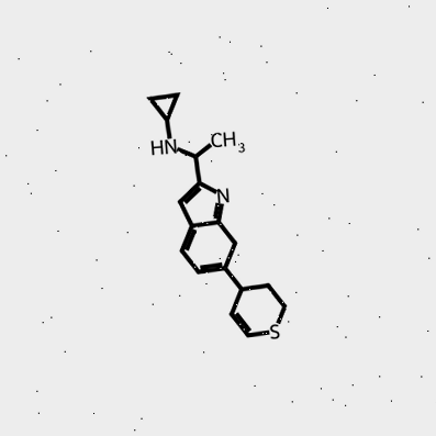 CC(NC1CC1)C1=CC2=CC=C(C3C=CSCC3)CC2=N1